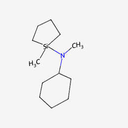 CN(C1CCCCC1)[Si]1(C)CCCC1